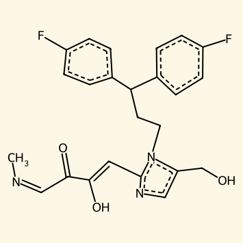 C/N=C\C(=O)/C(O)=C/c1ncc(CO)n1CCC(c1ccc(F)cc1)c1ccc(F)cc1